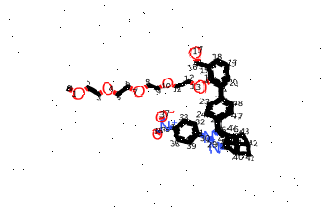 COCCOCCOCCOCCOc1c(C=O)cccc1-c1ccc(-c2c3c(nn2-c2ccc([N+](=O)[O-])cc2)C2CC(C3)C2(C)C)cc1